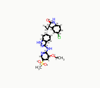 CCOc1cc(S(C)(=O)=O)cnc1Nc1n[nH]c2cc([C@@H]3C[C@@]34C(=O)Nc3ccc(Cl)cc34)ccc12